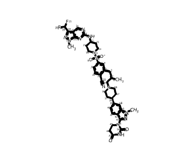 CC(Cc1cc(S(=O)(=O)N2CCC(Nc3ncc4c(C(F)F)nn(C)c4n3)CC2)ccc1C#N)CN1CCC(c2ccc3c(N4CCC(=O)NC4=O)nn(C)c3c2)CC1